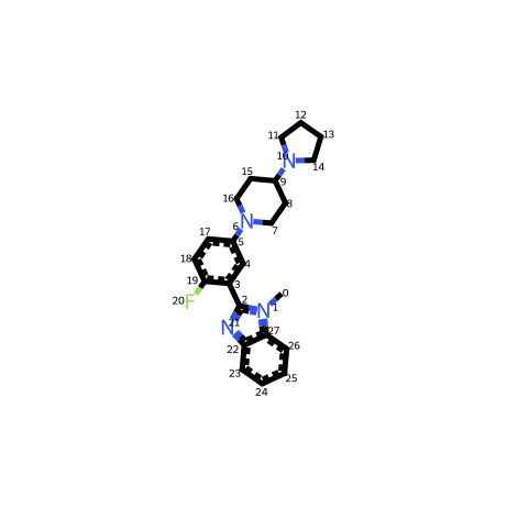 Cn1c(-c2cc(N3CCC(N4CCCC4)CC3)ccc2F)nc2ccccc21